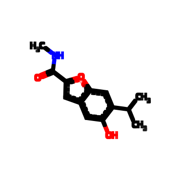 CNC(=O)c1cc2cc(O)c(C(C)C)cc2o1